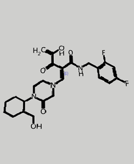 C=C(O)C(=O)/C(=C\N1CCN(C2CCCCC2CO)C(=O)C1)C(=O)NCc1ccc(F)cc1F